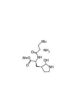 COC(=O)[C@H](C[C@@H]1CCNC1O)NC(=O)[C@@H](N)CC(C)(C)C